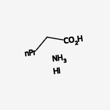 CCCCC(=O)O.I.N